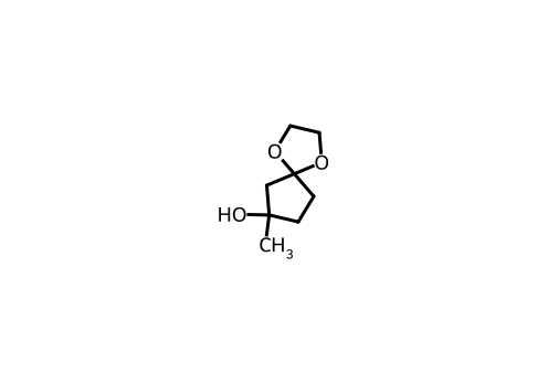 CC1(O)CCC2(C1)OCCO2